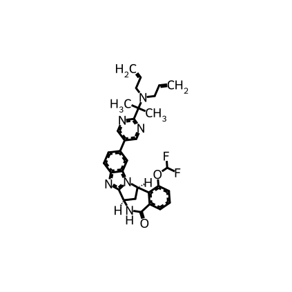 C=CCN(CC=C)C(C)(C)c1ncc(-c2ccc3nc4n(c3c2)[C@@H]2C[C@H]4NC(=O)c3cccc(OC(F)F)c32)cn1